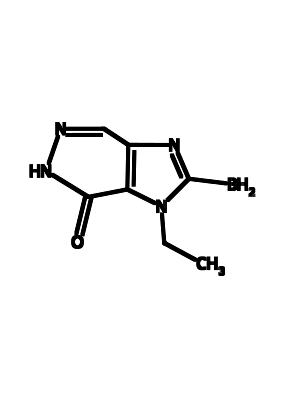 Bc1nc2cn[nH]c(=O)c2n1CC